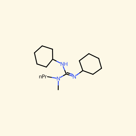 CCCN(C)/C(=N/C1CCCCC1)NC1CCCCC1